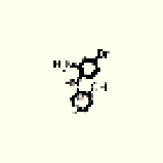 Nc1cc(Br)ccc1N[C@H]1COCC[C@@H]1O